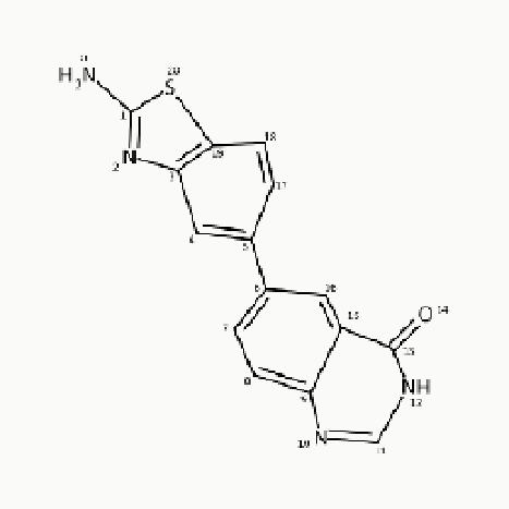 Nc1nc2cc(-c3ccc4nc[nH]c(=O)c4c3)ccc2s1